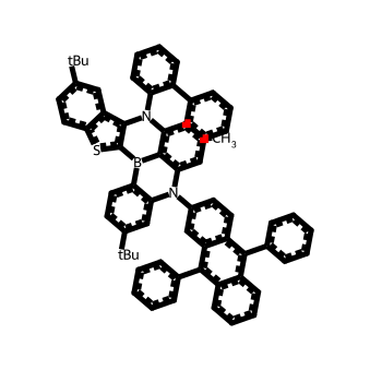 Cc1cc2c3c(c1)N(c1ccccc1-c1ccccc1)c1c(sc4ccc(C(C)(C)C)cc14)B3c1ccc(C(C)(C)C)cc1N2c1ccc2c(-c3ccccc3)c3ccccc3c(-c3ccccc3)c2c1